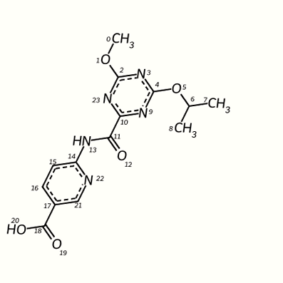 COc1nc(OC(C)C)nc(C(=O)Nc2ccc(C(=O)O)cn2)n1